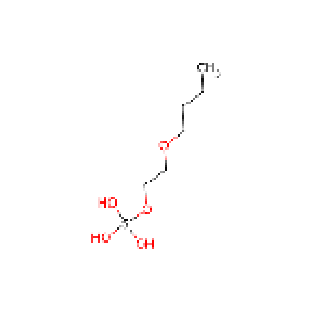 CCCCOCCO[Si](O)(O)O